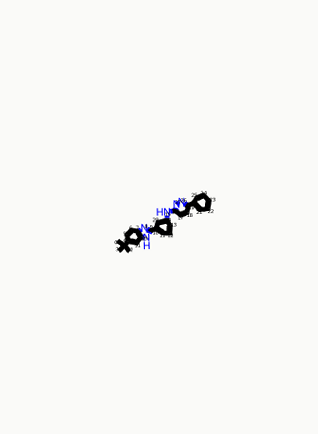 CC(C)(C)c1ccc2nc(-c3cccc(Nc4ccc(-c5ccccc5)nn4)c3)[nH]c2c1